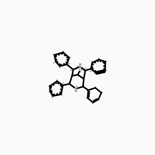 CC1C2C(C3=CC=CCC3)NC(c3ccccc3)C1C(c1ccccc1)NC2c1c#cccc1